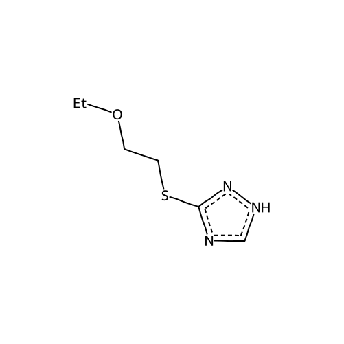 CCOCCSc1nc[nH]n1